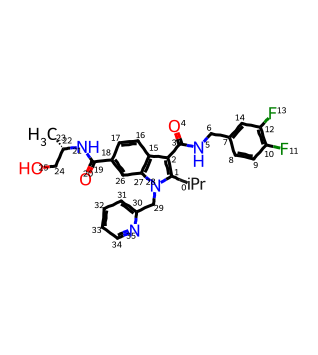 CC(C)c1c(C(=O)NCc2ccc(F)c(F)c2)c2ccc(C(=O)N[C@@H](C)CO)cc2n1Cc1ccccn1